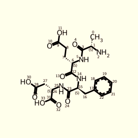 C[C@H](N)C(=O)N[C@@H](CCC(=O)O)C(=O)N[C@@H](Cc1ccccc1)C(=O)N[C@@H](CC(=O)O)C(=O)O